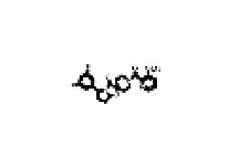 COc1cccnc1C(=O)N1CCC2(CC1)OC1CCC(c3cc(F)cc(F)c3)N1C2=O